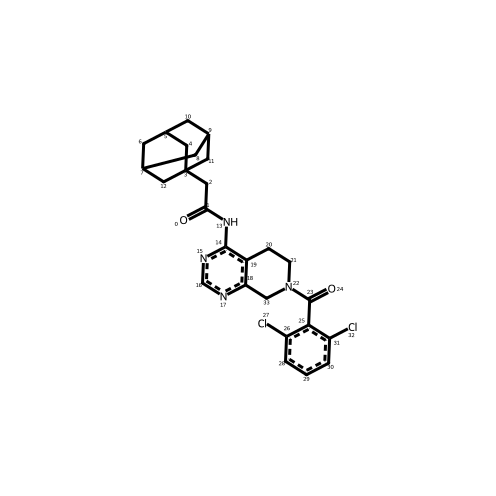 O=C(CC12CC3CC(CC(C3)C1)C2)Nc1ncnc2c1CCN(C(=O)c1c(Cl)cccc1Cl)C2